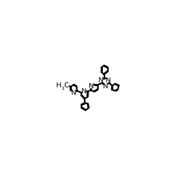 Cc1ccc(-c2cc(-c3ccccc3)cc(-c3ccc(-c4nc(-c5ccccc5)nc(-c5ccccc5)n4)cn3)n2)nc1